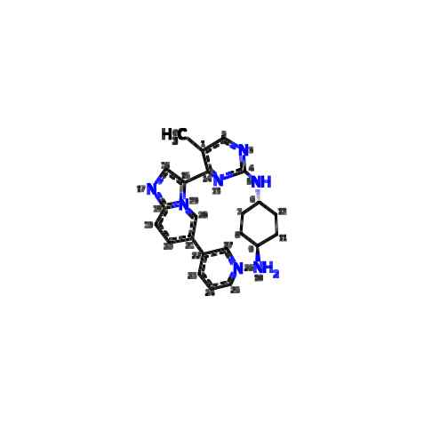 Cc1cnc(N[C@H]2CC[C@H](N)CC2)nc1-c1cnc2ccc(-c3cccnc3)cn12